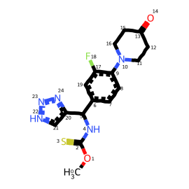 COC(=S)NC(c1ccc(N2CCC(=O)CC2)c(F)c1)c1c[nH]nn1